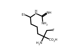 CCC(CCCC(N)(CF)C(=O)O)NC(=N)N